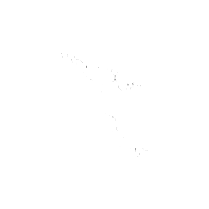 COC(=O)C(CCCCCCCC(=O)O)C1CCN(C)CC1